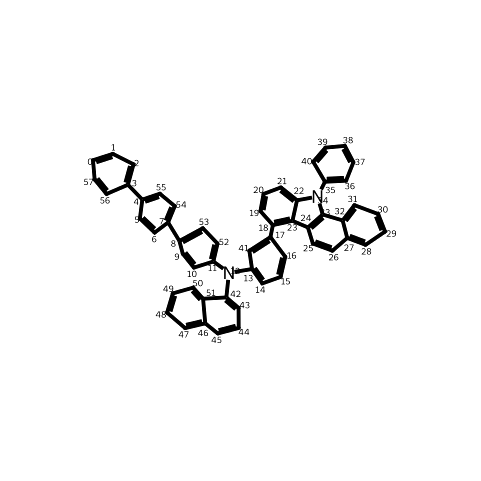 c1ccc(-c2ccc(-c3ccc(N(c4cccc(-c5cccc6c5c5ccc7ccccc7c5n6-c5ccccc5)c4)c4cccc5ccccc45)cc3)cc2)cc1